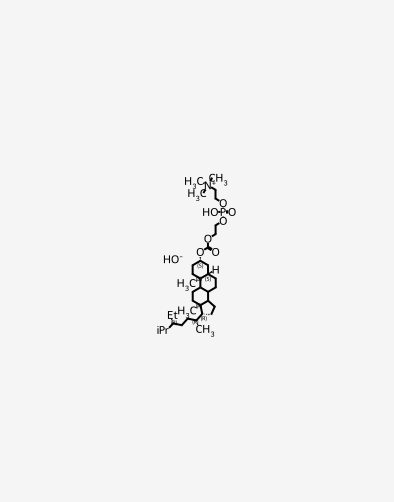 CC[C@H](CC[C@@H](C)[C@H]1CCC2C3CC[C@H]4C[C@@H](OC(=O)OCCOP(=O)(O)OCC[N+](C)(C)C)CC[C@]4(C)C3CC[C@@]21C)C(C)C.[OH-]